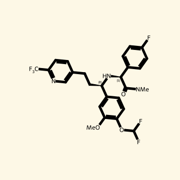 CNC(=O)[C@@H](N[C@H](CCc1ccc(C(F)(F)F)nc1)c1ccc(OC(F)F)c(OC)c1)c1ccc(F)cc1